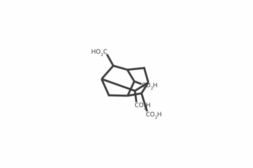 O=C(O)C1C2CC3C(C(=O)O)C1CC(C2C(=O)O)C3C(=O)O